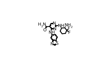 NC(=O)c1cnc(N[C@@H]2CCCC(F)(F)[C@@H]2N)nc1Nc1ccc2scnc2c1